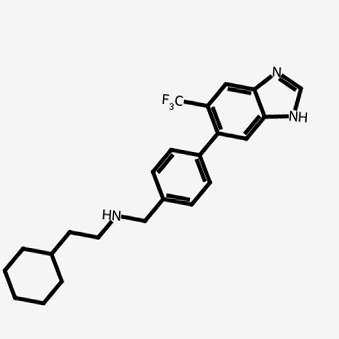 FC(F)(F)c1cc2nc[nH]c2cc1-c1ccc(CNCCC2CCCCC2)cc1